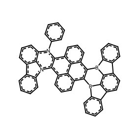 c1ccc(-n2c3cccc4c5ccccc5n(c43)c3c4cccc5c6c(c7cccc(c7c54)c32)B2c3ccccc3-c3ccc4c(c32)B6c2ccccc2-4)cc1